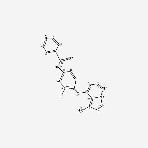 Cc1ccn2ncnc(Oc3ccc(NC(=O)c4ccncc4)cc3F)c12